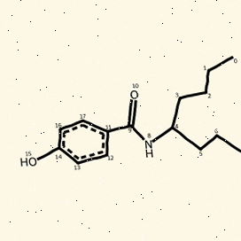 CCCCC(CCC)NC(=O)c1ccc(O)cc1